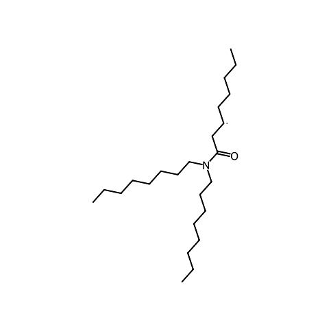 CCCCC[CH]CC(=O)N(CCCCCCCC)CCCCCCCC